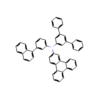 c1ccc(-c2cc(-c3ccccc3)cc(N(c3cccc(-c4cccc5ccccc45)c3)c3ccc4c5ccccc5c5ccccc5c4c3)c2)cc1